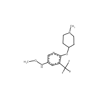 CONc1cnc(OC2CCN(C)CC2)c(C(F)(F)F)c1